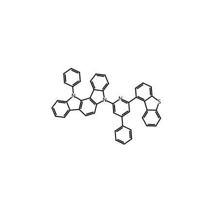 c1ccc(-c2cc(-c3cccc4sc5ccccc5c34)nc(-n3c4ccccc4c4c3ccc3c5ccccc5n(-c5ccccc5)c34)c2)cc1